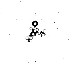 CC(=O)OC(C)(C)CC(C(=O)OC1CCCCC1)C(C)C(=O)OCC(F)(F)F